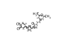 CC1CN(CCCC(=O)Nc2ccn(-c3ccc(Cl)c(Cl)c3)n2)CC(C)O1